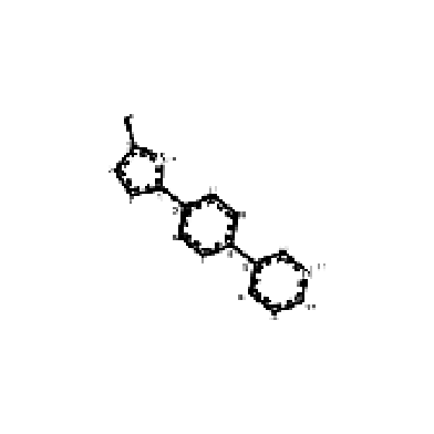 Cc1ccc(-c2ccc(-c3cccnc3)cc2)s1